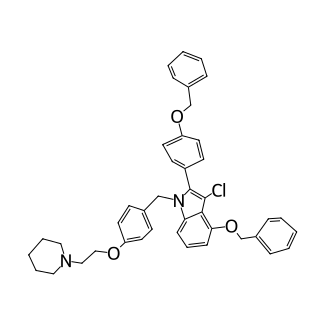 Clc1c(-c2ccc(OCc3ccccc3)cc2)n(Cc2ccc(OCCN3CCCCC3)cc2)c2cccc(OCc3ccccc3)c12